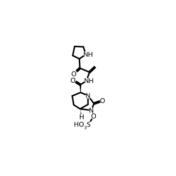 C=C(NC(=O)[C@@H]1CC[C@H]2CN1C(=O)N2OS(=O)(=O)O)C(=O)C1CCCN1